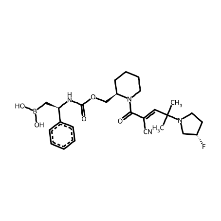 CC(C)(C=C(C#N)C(=O)N1CCCC[C@@H]1COC(=O)N[C@H](CB(O)O)c1ccccc1)N1CC[C@H](F)C1